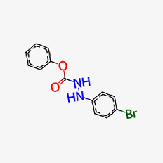 O=C(NNc1ccc(Br)cc1)Oc1ccccc1